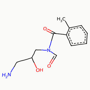 Cc1ccccc1C(=O)N(C=O)CC(O)CN